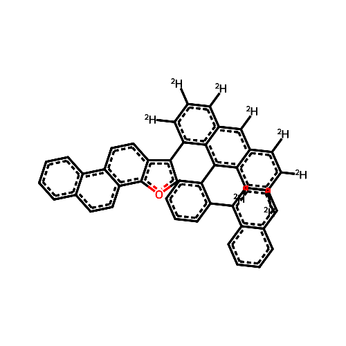 [2H]c1c([2H])c([2H])c2c(-c3ccccc3-c3cccc4ccccc34)c3c(-c4coc5c4ccc4c6ccccc6ccc45)c([2H])c([2H])c([2H])c3c([2H])c2c1[2H]